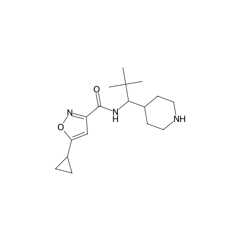 CC(C)(C)C(NC(=O)c1cc(C2CC2)on1)C1CCNCC1